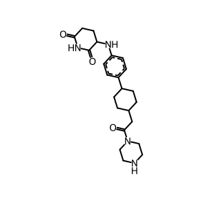 O=C1CCC(Nc2ccc(C3CCC(CC(=O)N4CCNCC4)CC3)cc2)C(=O)N1